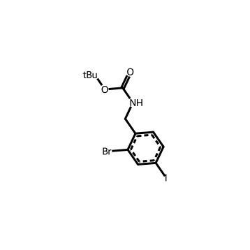 CC(C)(C)OC(=O)NCc1ccc(I)cc1Br